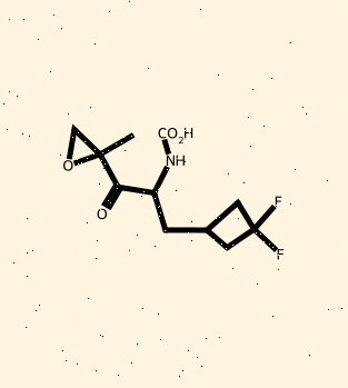 CC1(C(=O)C(CC2CC(F)(F)C2)NC(=O)O)CO1